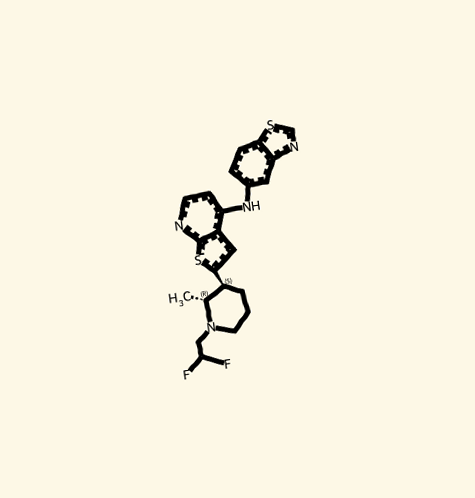 C[C@@H]1[C@@H](c2cc3c(Nc4ccc5scnc5c4)ccnc3s2)CCCN1CC(F)F